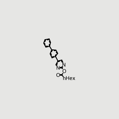 CCCCCCC(=O)Oc1ncc(-c2ccc(-c3ccccc3)cc2)cn1